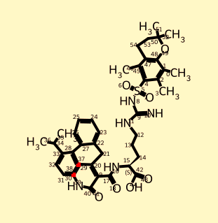 Cc1c(C)c(S(=O)(=O)NC(=N)NCCC[C@H](NC(=O)c2c(Cc3ccccc3-c3ccccc3C(C)C)cc[nH]c2=O)C(=O)O)c(C)c2c1OC(C)(C)CC2